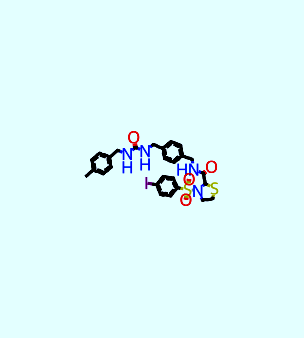 Cc1ccc(CNC(=O)NCc2ccc(CNC(=O)C3SCCN3S(=O)(=O)c3ccc(I)cc3)cc2)cc1